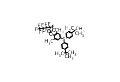 Cc1cc([S+](c2ccc(C(C)(C)C)cc2)c2ccc(C(C)(C)C)cc2)cc(C)c1OS(=O)(=O)C(F)(F)C(F)(F)C(F)(F)C(F)(F)F